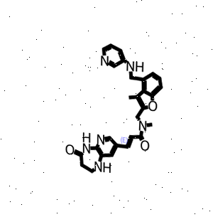 Cc1c(CN(C)C(=O)/C=C/c2cnc3c(c2)NCCC(=O)N3)oc2cccc(CNc3cccnc3)c12